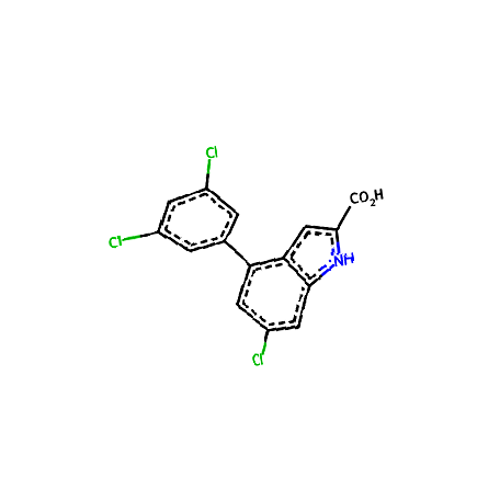 O=C(O)c1cc2c(-c3cc(Cl)cc(Cl)c3)cc(Cl)cc2[nH]1